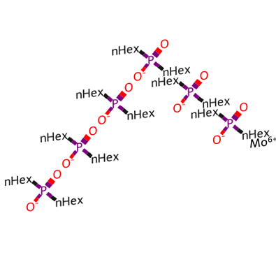 CCCCCCP(=O)([O-])CCCCCC.CCCCCCP(=O)([O-])CCCCCC.CCCCCCP(=O)([O-])CCCCCC.CCCCCCP(=O)([O-])CCCCCC.CCCCCCP(=O)([O-])CCCCCC.CCCCCCP(=O)([O-])CCCCCC.[Mo+6]